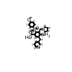 COc1ccc(S(=O)(=O)c2c(C(=O)O)cc(Cc3cccnc3)c(N)c2CN2CCCC2)cc1